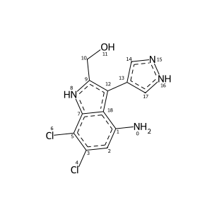 Nc1cc(Cl)c(Cl)c2[nH]c(CO)c(-c3cn[nH]c3)c12